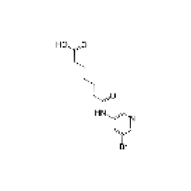 O=C(O)CCCCCC(=O)Nc1cncc(Br)c1